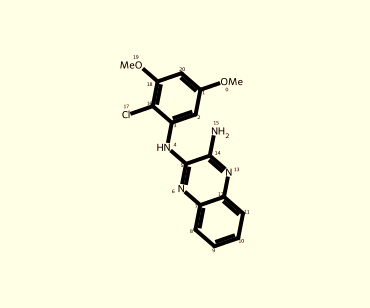 COc1cc(Nc2nc3ccccc3nc2N)c(Cl)c(OC)c1